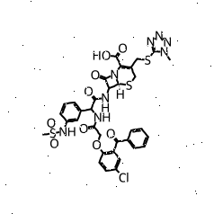 Cn1nnnc1SCC1=C(C(=O)O)N2C(=O)C(NC(=O)C(NC(=O)COc3ccc(Cl)cc3C(=O)c3ccccc3)c3cccc(NS(C)(=O)=O)c3)[C@@H]2SC1